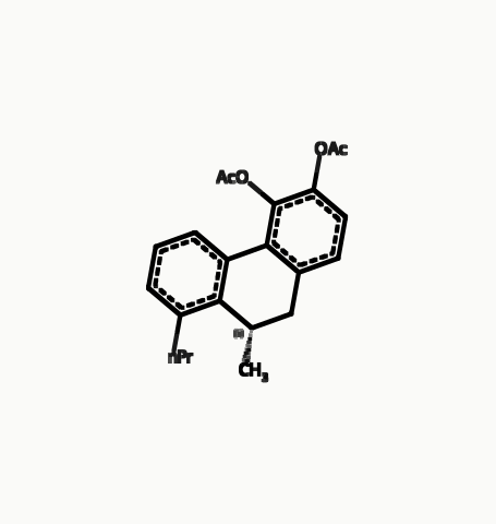 CCCc1cccc2c1[C@@H](C)Cc1ccc(OC(C)=O)c(OC(C)=O)c1-2